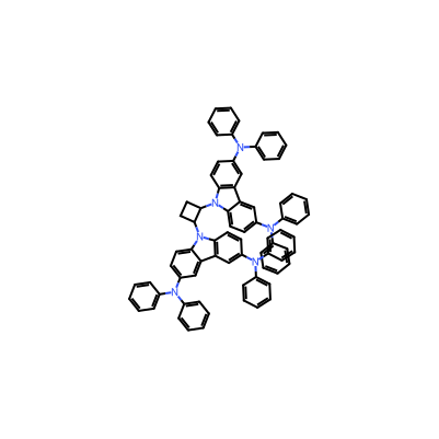 c1ccc(N(c2ccccc2)c2ccc3c(c2)c2cc(N(c4ccccc4)c4ccccc4)ccc2n3C2CCC2n2c3ccc(N(c4ccccc4)c4ccccc4)cc3c3cc(N(c4ccccc4)c4ccccc4)ccc32)cc1